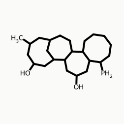 CC1CC(O)CC2CC(CCC3C2CC(O)CC2C(P)CCCCCC23)C1